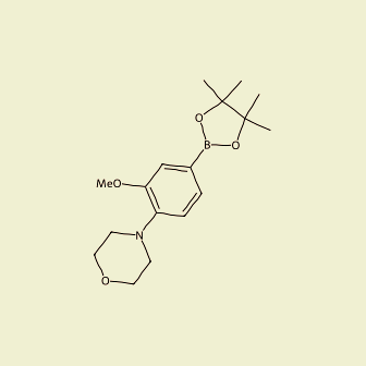 COc1cc(B2OC(C)(C)C(C)(C)O2)ccc1N1CCOCC1